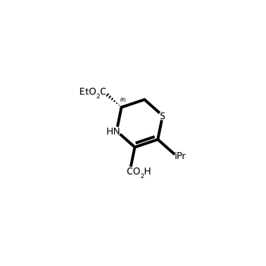 CCOC(=O)[C@@H]1CSC(C(C)C)=C(C(=O)O)N1